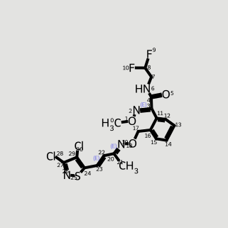 CO/N=C(/C(=O)NCC(F)F)c1ccccc1CO/N=C(C)/C=C/c1snc(Cl)c1Cl